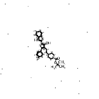 CC(C)(C)OC(=O)N1CCC(CCc2c(-c3ccc(F)cc3)nn(-c3nc4ccccc4[nH]3)c2O)CC1